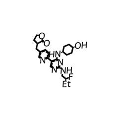 CC[C@H](F)CNc1ncc(-c2ccc(CC3CCOC3=O)cn2)c(N[C@H]2CC[C@H](O)CC2)n1